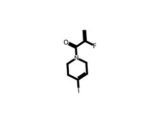 C=C(F)C(=O)N1CC=C(I)CC1